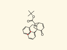 CC(C)(C)OC(=O)C1C[C@@]2(c3ccccc3)C(=O)C=CC1N2Cc1ccccc1